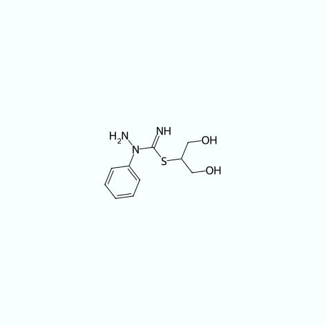 N=C(SC(CO)CO)N(N)c1ccccc1